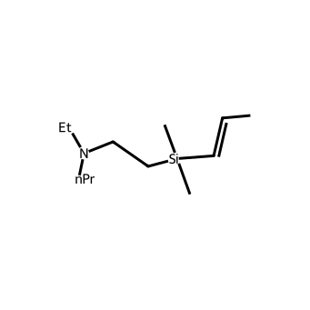 CC=C[Si](C)(C)CCN(CC)CCC